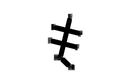 CCNC(F)(F)C(F)(F)F